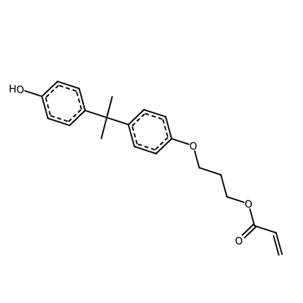 C=CC(=O)OCCCOc1ccc(C(C)(C)c2ccc(O)cc2)cc1